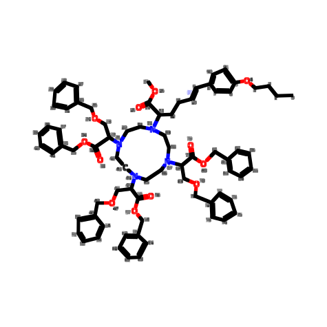 CCCCOc1ccc(/C=C/CCC(C(=O)OC)N2CCN(C(COCc3ccccc3)C(=O)OCc3ccccc3)CCN(C(COCc3ccccc3)C(=O)OCc3ccccc3)CCN(C(COCc3ccccc3)C(=O)OCc3ccccc3)CC2)cc1